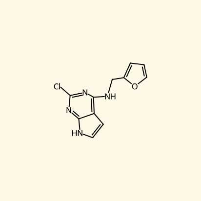 Clc1nc(NCc2ccco2)c2cc[nH]c2n1